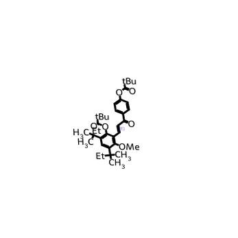 CCC(C)(C)c1cc(C(C)(C)CC)c(OC(=O)C(C)(C)C)c(/C=C/C(=O)c2ccc(OC(=O)C(C)(C)C)cc2)c1OC